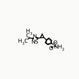 CC(C)c1nsc(C2CC2c2ccc(S(N)(=O)=O)cc2)n1